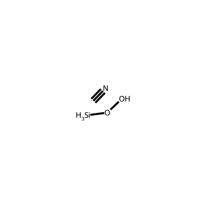 OO[SiH3].[C]#N